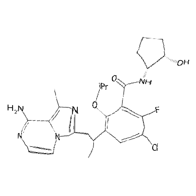 Cc1nc(C(C)c2cc(Cl)c(F)c(C(=O)N[C@@H]3CCC[C@@H]3O)c2OC(C)C)n2ccnc(N)c12